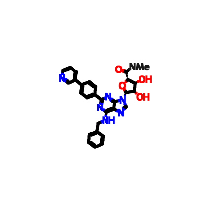 CNC(=O)[C@H]1O[C@@H](n2cnc3c(NCc4ccccc4)nc(-c4ccc(-c5cccnc5)cc4)nc32)[C@H](O)[C@@H]1O